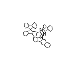 c1ccc2c(c1)-c1ccccc1C21c2ccccc2-c2ccc(-c3nc4oc5ccccc5c4nc3-n3c4ccccc4c4cc5ccccc5cc43)cc21